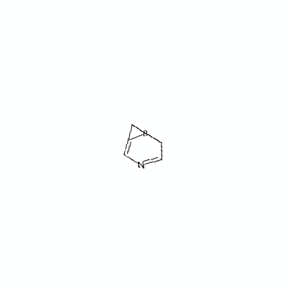 C1=NC=C2B3C1C32